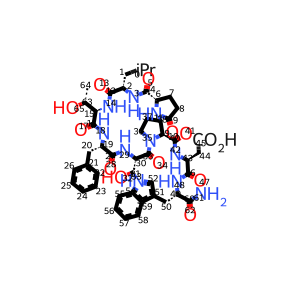 CC(C)C[C@H](NC(=O)[C@@H]1CCC(=O)N1)C(=O)N[C@H](C(=O)N[C@@H](Cc1ccccc1)C(=O)N[C@@H](CO)C(=O)N1CCC[C@H]1C(=O)N[C@@H](CC(=O)O)C(=O)N[C@@H](Cc1c[nH]c2ccccc12)C(N)=O)[C@@H](C)O